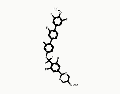 CCCCCC1COC(c2cc(F)c(C(F)(F)Oc3ccc(-c4ccc(-c5cc(F)c(OC(F)(F)F)c(F)c5)c(F)c4)c(F)c3)c(F)c2)OC1